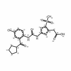 CS(=O)(=O)c1sc(NC(=O)Nc2ccc(Cl)cc2C(=O)C2CCCC2)nc1CC(=O)O